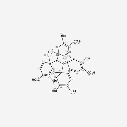 CC(C)(C)C1=C(C(=O)O)C=CC(C)(C(C(C2(C)C=CC(C(=O)O)=C(C(C)(C)C)C2)C2(C)C=CC(C(=O)O)=C(C(C)(C)C)C2)C2(C)C=CC(C(=O)O)=C(C(C)(C)C)C2)C1